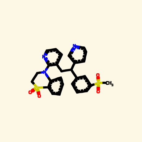 CS(=O)(=O)c1cccc(C(Cc2cccnc2N2CCS(=O)(=O)c3ccccc32)c2cccnc2)c1